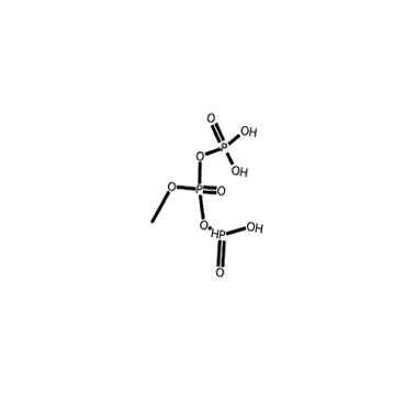 COP(=O)(O[PH](=O)O)OP(=O)(O)O